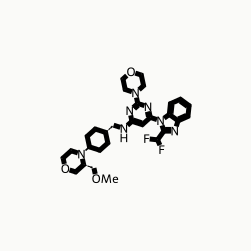 COC[C@@H]1COCCN1[C@H]1CC[C@@H](CNc2cc(-n3c(C(F)F)nc4ccccc43)nc(N3CCOCC3)n2)CC1